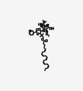 CC/C=C\C/C=C\C/C=C\C/C=C\C/C=C\CCCC(=O)OCC(C)(C)[C@@H](OC(=O)c1cccnc1)C(=O)NC(C=N)(NC(=N)N(C)C)C(N)C(=O)O